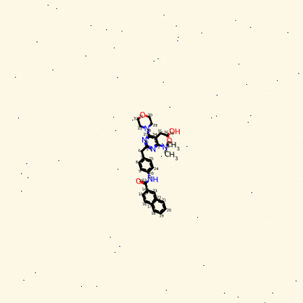 CN(C)c1nc(Cc2ccc(NC(=O)c3ccc4ccccc4c3)cc2)nc(N2CCOCC2)c1CC(=O)O